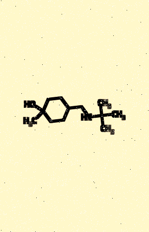 CC1(O)CCC(CNC(C)(C)C)CC1